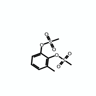 Cc1cccc(OS(C)(=O)=O)c1OS(C)(=O)=O